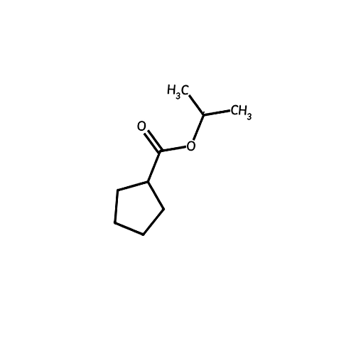 C[C](C)OC(=O)C1CCCC1